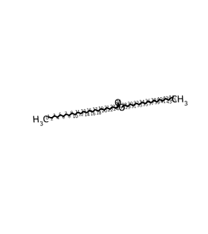 CCCCCCCCCCCCCCCCCCCCCCCCCC(=O)OCCCCCCCCCCCCCCCCCC